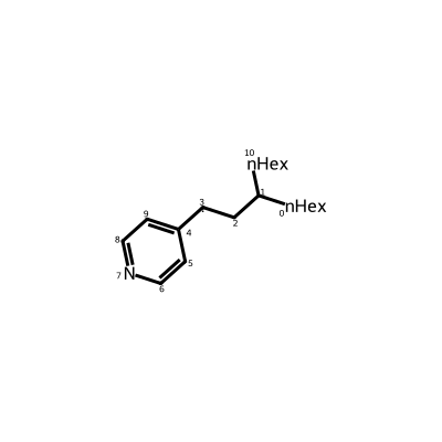 CCCCCCC(C[CH]c1ccncc1)CCCCCC